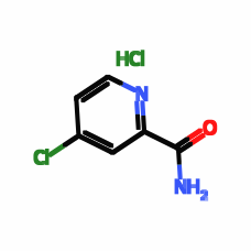 Cl.NC(=O)c1cc(Cl)ccn1